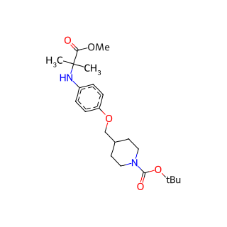 COC(=O)C(C)(C)Nc1ccc(OCC2CCN(C(=O)OC(C)(C)C)CC2)cc1